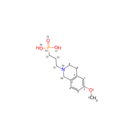 COc1ccc2c(c1)CCN(CCCP(=O)(O)O)C2